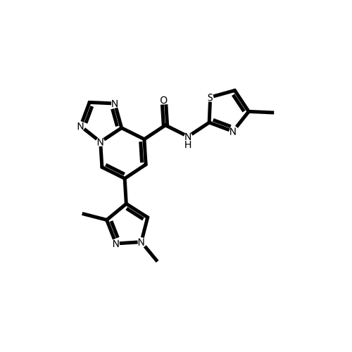 Cc1csc(NC(=O)c2cc(-c3cn(C)nc3C)cn3ncnc23)n1